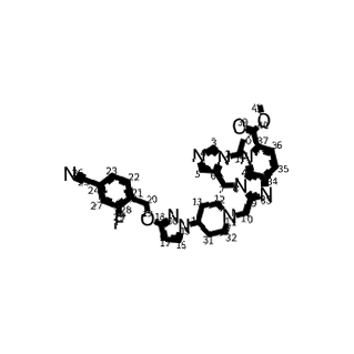 CCn1cncc1Cn1c(CN2CCC(n3ccc(OCc4ccc(C#N)cc4F)n3)CC2)nc2ccc(C(=O)OC)nc21